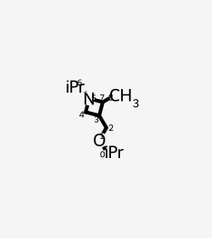 CC(C)OCC1CN(C(C)C)C1C